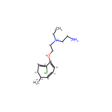 CCN(CCN)CCOC1=C/C=C\C(C)C\C=C\1F